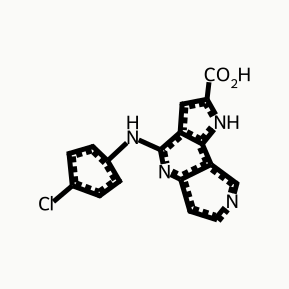 O=C(O)c1cc2c(Nc3ccc(Cl)cc3)nc3ccncc3c2[nH]1